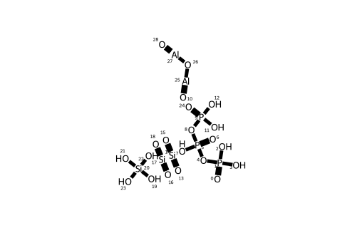 O=P(O)(O)OP(=O)(O)OP(=O)(O)O.O=[Si]=O.O=[Si]=O.O[Si](O)(O)O.[O]=[Al][O][Al]=[O]